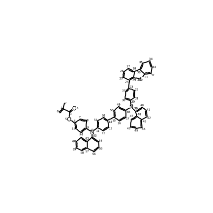 C=C(C)C(=O)Oc1ccc(N(c2ccc(-c3ccc(N(c4ccc(-c5cccc6c5sc5ccccc56)cc4)c4cccc5ccccc45)cc3)cc2)c2cccc3ccccc23)cc1